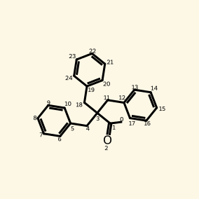 CC(=O)C(Cc1ccccc1)(Cc1ccccc1)Cc1ccccc1